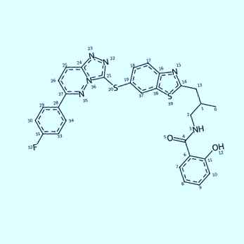 CC(CNC(=O)c1ccccc1O)Cc1nc2ccc(Sc3nnc4ccc(-c5ccc(F)cc5)nn34)cc2s1